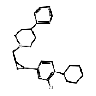 Clc1cc(C2CC2CN2CCC(c3ccccc3)CC2)ccc1C1CCCCC1